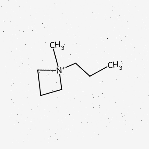 CCC[N+]1(C)CCC1